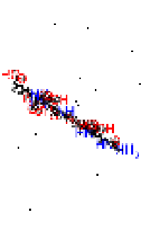 CC(CC(=O)O)CC(C)CC(=O)NC(CS(=O)(=O)O)C(=O)NC(CCC(=O)NCCOCCOCC(=O)NC(CCCCNC(=O)CN)C(=O)O)C(=O)O